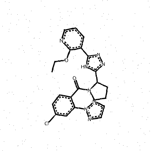 CCOc1ncccc1-c1nnc(C2CCCN2C(=O)c2ccc(Cl)cc2-n2nccn2)[nH]1